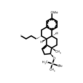 COc1ccc2c(c1)C[C@@H](CCCI)[C@H]1C3=CC[C@H](O[Si](C)(C)C(C)(C)C)[C@@]3(C)CC[C@H]21